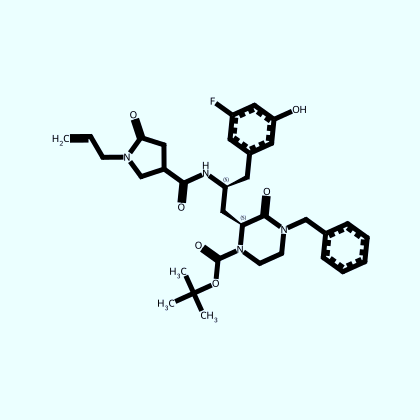 C=CCN1CC(C(=O)N[C@@H](Cc2cc(O)cc(F)c2)C[C@H]2C(=O)N(Cc3ccccc3)CCN2C(=O)OC(C)(C)C)CC1=O